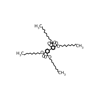 CCCCCCCCCCOC(=O)c1ccc(-c2ccc(C(=O)OCCCCCCCCCC)c(C(=O)OCCCCCCCCCC)c2CC)cc1C(=O)OCCCCCCCCCC